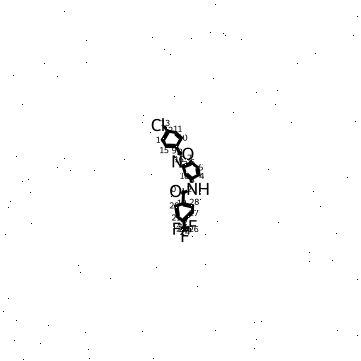 O=C(Nc1ccc2oc(-c3ccc(Cl)cc3)nc2c1)c1ccc(C(F)(F)F)cc1